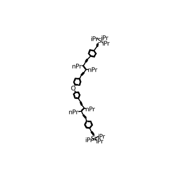 CCC/C(C#Cc1ccc(C#C[Si](C(C)C)(C(C)C)C(C)C)cc1)=C(\C#Cc1ccc(Oc2ccc(C#C/C(CCC)=C(/C#Cc3ccc(C#C[Si](C(C)C)(C(C)C)C(C)C)cc3)CCC)cc2)cc1)CCC